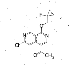 CC(=O)c1cnc(OCC2(F)CC2)c2cnc(Cl)cc12